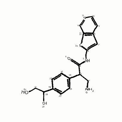 NCC(C(=O)Nc1cc2ccncc2s1)c1ccc(C(O)CO)cc1